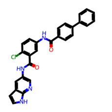 O=C(Nc1ccc(Cl)c(C(=O)Nc2cnc3[nH]ccc3c2)c1)c1ccc(-c2ccccc2)cc1